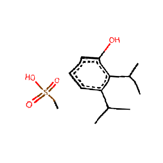 CC(C)c1cccc(O)c1C(C)C.CS(=O)(=O)O